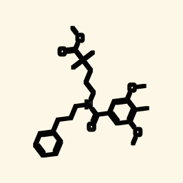 COC(=O)C(C)(C)CCCN(CCCc1ccccc1)C(=O)c1cc(OC)c(C)c(OC)c1